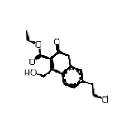 CCOC(=O)C1=C(CO)c2ccc(CCCl)cc2CC1=O